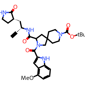 C#C[C@H](C[C@@H]1CCNC1=O)NC(=O)C1CC2(CCN(C(=O)OC(C)(C)C)CC2)CN1C(=O)c1cc2c(OC)cccc2[nH]1